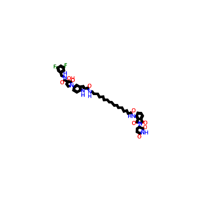 O=C1CCC(N2C(=O)c3cccc(NC(=O)CCCCCCCCCCCCCCCCNC(=O)c4cc5cc(N6CC[C@](O)(C(=O)NCc7cc(F)cc(F)c7)C6=O)ccc5[nH]4)c3C2=O)C(=O)N1